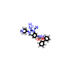 N#CN=C(N)N(Cc1ccc(NS(=O)(=O)c2ccccc2-c2ccccc2)cc1)c1ccncc1